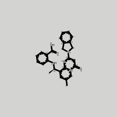 Cc1cc([C@@H](C)Nc2ccccc2C(=O)O)c2nc(N3Cc4ccccc4C3)cc(=O)n2c1